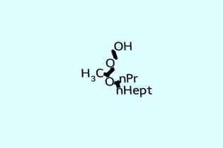 CCCCCCCC(CCC)OC(C)COCCO